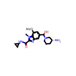 COc1cc(C(O)N2CCC[C@@H](N)C2)cc2nc(C(=O)NC3CC3)n(C)c12